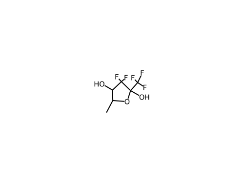 CC1OC(O)(C(F)(F)F)C(F)(F)C1O